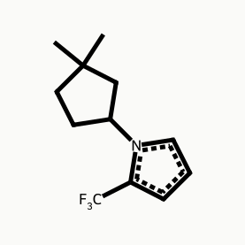 CC1(C)CCC(n2cccc2C(F)(F)F)C1